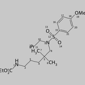 CCOC(=O)NCCCC(C)(C)CN(CC(C)C)S(=O)(=O)c1ccc(OC)cc1